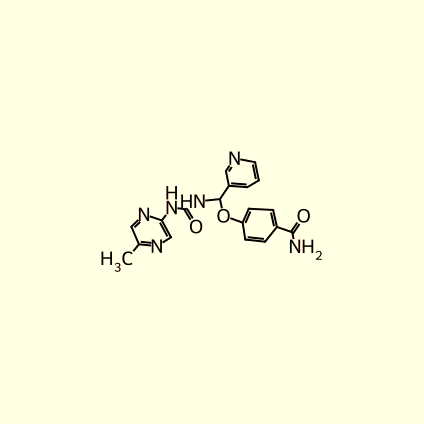 Cc1cnc(NC(=O)NC(Oc2ccc(C(N)=O)cc2)c2cccnc2)cn1